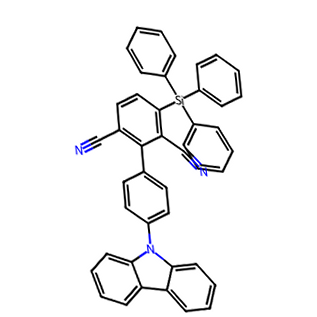 N#Cc1ccc([Si](c2ccccc2)(c2ccccc2)c2ccccc2)c(C#N)c1-c1ccc(-n2c3ccccc3c3ccccc32)cc1